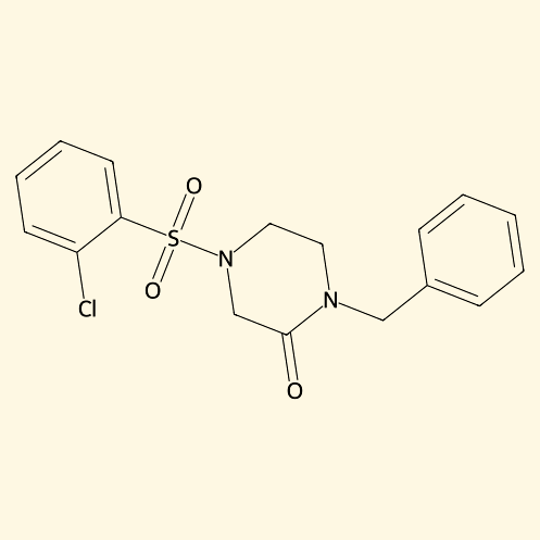 O=C1CN(S(=O)(=O)c2ccccc2Cl)CCN1Cc1ccccc1